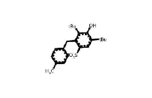 Cc1ccc(Cc2c(S(=O)(=O)O)cc(C(C)(C)C)c(O)c2C(C)(C)C)cc1